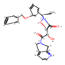 C[C@H](c1cccc(OCc2ccccc2)c1)N1O[C@H]([C@@H](O)C(=O)N2Cc3cccnc3C2)C1=O